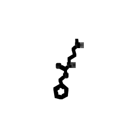 CNCCCNC(=O)OCc1ccccc1